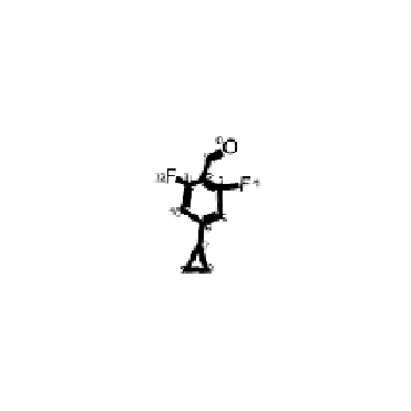 O=Cc1c(F)cc(C2CC2)cc1F